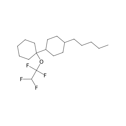 CCCCCC1CCC(C2(OC(F)(F)C(F)F)CCCCC2)CC1